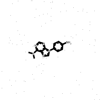 CN(C)c1ncnc2c1ncn2-c1ccc(N)cc1